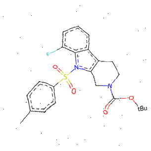 Cc1ccc(S(=O)(=O)n2c3c(c4cccc(F)c42)CCN(C(=O)OC(C)(C)C)C3)cc1